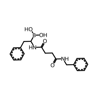 O=C(CCC(=O)NC(Cc1ccccc1)B(O)O)NCc1ccccc1